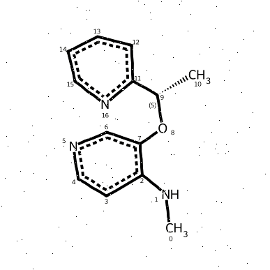 CNc1ccncc1O[C@@H](C)c1ccccn1